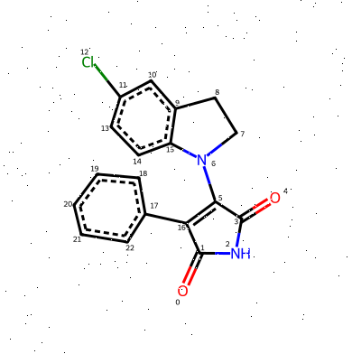 O=C1NC(=O)C(N2CCc3cc(Cl)ccc32)=C1c1ccccc1